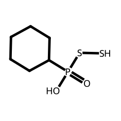 O=P(O)(SS)C1CCCCC1